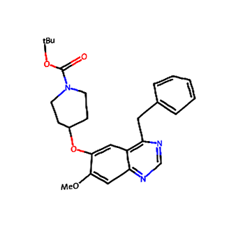 COc1cc2ncnc(Cc3ccccc3)c2cc1OC1CCN(C(=O)OC(C)(C)C)CC1